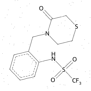 O=C1CSCCN1Cc1ccccc1NS(=O)(=O)C(F)(F)F